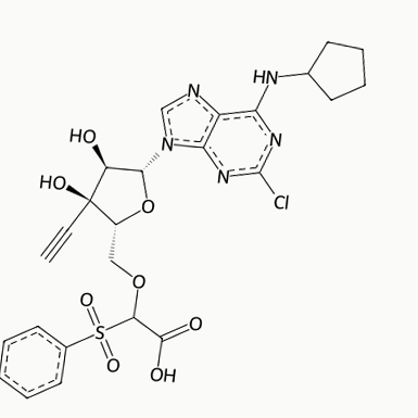 C#C[C@@]1(O)[C@@H](COC(C(=O)O)S(=O)(=O)c2ccccc2)O[C@@H](n2cnc3c(NC4CCCC4)nc(Cl)nc32)[C@@H]1O